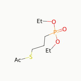 CCOP(=O)(CCCSC(C)=O)OCC